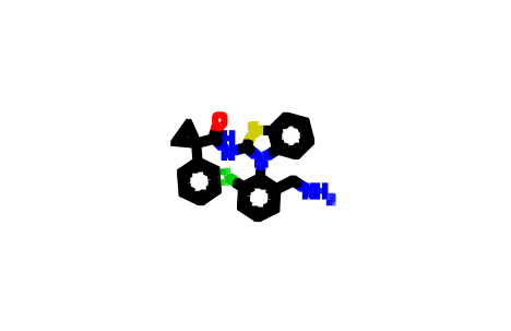 NCc1cccc(Cl)c1N1c2ccccc2SC1NC(=O)C1(c2ccccc2)CC1